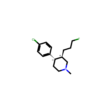 CN1CC[C@H](c2ccc(Cl)cc2)[C@@H](CCCF)C1